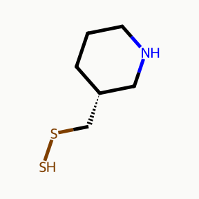 SSC[C@@H]1CCCNC1